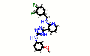 COc1cccc(Nc2nnc(-c3cccnc3NCc3ccc(F)c(F)c3)[nH]2)c1